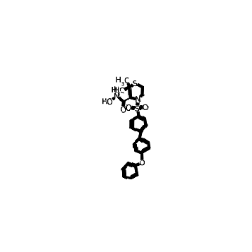 CC1(C)SCCN(S(=O)(=O)c2ccc(-c3ccc(Oc4ccccc4)cc3)cc2)[C@H]1C(=O)NO